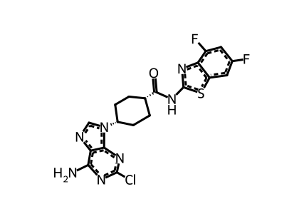 Nc1nc(Cl)nc2c1ncn2[C@H]1CC[C@@H](C(=O)Nc2nc3c(F)cc(F)cc3s2)CC1